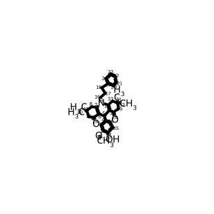 COc1cc(C2C3=C(CC(C)(C)CC3=O)N(CCCc3ccccc3)C3=C2C(=O)CC(C)(C)C3)ccc1O